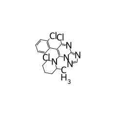 CC1CCCCN1c1c(-c2c(Cl)cccc2Cl)c(Cl)nc2ncnn12